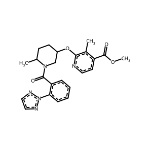 COC(=O)c1ccnc(OC2CCC(C)N(C(=O)c3ccccc3-n3nccn3)C2)c1C